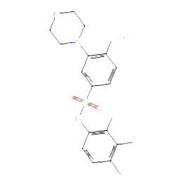 COc1ccc(S(=O)(=O)Nc2ccc(C)c(F)c2Cl)cc1N1CCNCC1